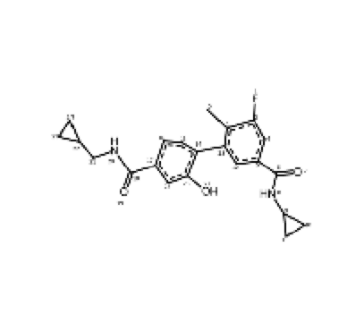 Cc1c(F)cc(C(=O)NC2CC2)cc1-c1ccc(C(=O)NCC2CC2)cc1O